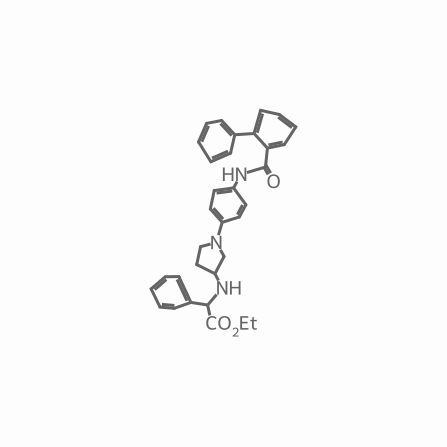 CCOC(=O)C(NC1CCN(c2ccc(NC(=O)c3ccccc3-c3ccccc3)cc2)C1)c1ccccc1